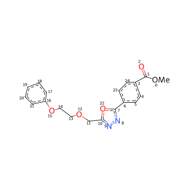 COC(=O)c1ccc(-c2nnc(COCCOc3ccccc3)o2)cc1